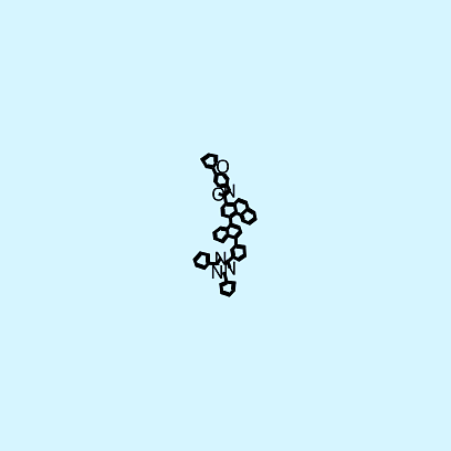 c1ccc(-c2nc(-c3ccccc3)nc(-c3cccc(-c4ccc(-c5ccc(-c6nc7cc8oc9ccccc9c8cc7o6)c6ccc7ccccc7c56)c5ccccc45)c3)n2)cc1